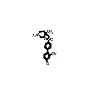 CC(=O)N1CCC(C)(CS(=O)(=O)c2ccc(-c3ccc(Cl)cc3C#N)cc2)CC1